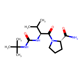 CC(C)[C@H](NC(=O)NC(C)(C)C)C(=O)N1CCC[C@H]1C(N)=O